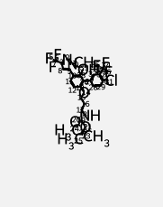 Cn1nc(C(F)(F)F)cc1-c1ccc(OCCCNC(=O)OC(C)(C)C)c(-c2ccc(Cl)c(C(F)(F)F)c2)c1O